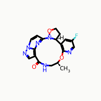 C[C@H]1CNC(=O)c2cnn3ccc(nc23)N2OCC[C@H]2c2cc(F)cnc2O1